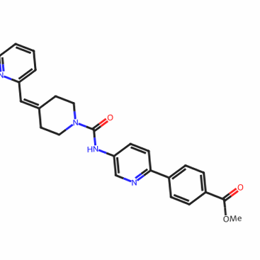 COC(=O)c1ccc(-c2ccc(NC(=O)N3CCC(=Cc4ccccn4)CC3)cn2)cc1